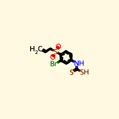 C=CCS(=O)(=O)c1ccc(NC(=S)S)cc1Br